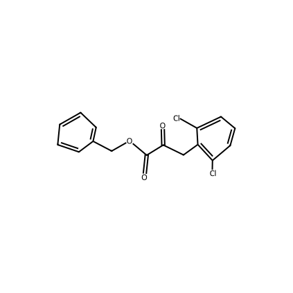 O=C(Cc1c(Cl)cccc1Cl)C(=O)OCc1ccccc1